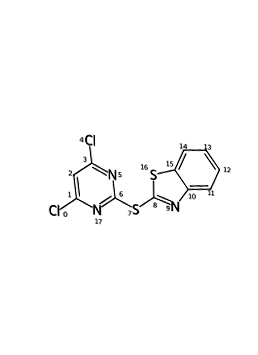 Clc1cc(Cl)nc(Sc2nc3ccccc3s2)n1